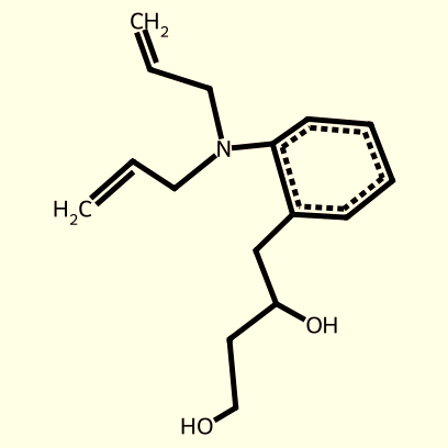 C=CCN(CC=C)c1ccccc1CC(O)CCO